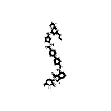 C=C1CCC(N2C(=O)c3cccc(NCc4ccc(-c5ccc(C(=O)N[C@@H]6CC[C@@H](Nc7cc(CCC)nc8ccnn78)C6)cc5)cc4)c3C2=O)C(=O)N1